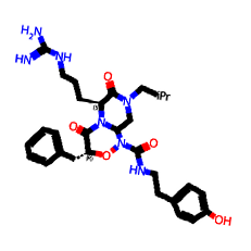 CC(C)CN1CC2N(C(=O)NCCc3ccc(O)cc3)O[C@H](Cc3ccccc3)C(=O)N2[C@@H](CCCNC(=N)N)C1=O